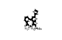 CCCC[S+]([O-])c1sc2nc(-c3nccs3)cc3c4cccc(c4)c(=O)n(C)[nH]c1c23